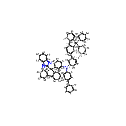 c1ccc(-c2ccc(N(c3cccc(-c4ccc5c(c4)C4(c6ccccc6-c6ccccc64)c4ccccc4-5)c3)c3ccc4c(c3)C3(c5ccccc5-c5ccccc53)c3nc5ccccc5n3-4)cc2)cc1